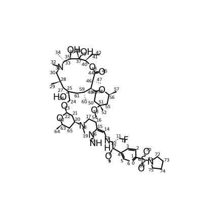 C=C(/C=C\C(=C/C)[C@@H](OC)[C@@H](CF)N/C=C(/CCN(C)[C@@H]1C[C@H](OC[C@@]2(O)C[C@@H](C)CN(C)[C@H](C)[C@@H](O)[C@](C)(O)[C@@H](CC)OC(=O)[C@H](C)[C@@H](C3C[C@@](C)(OC)C[C@H](C)O3)[C@H](C)C2)O[C@H](C)C1)N=N)S(=O)(=O)N1CCCC1